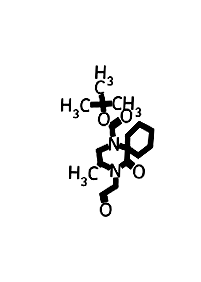 CC1CN(C(=O)OC(C)(C)C)C2(CCCCC2)C(=O)N1CC=O